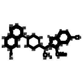 COc1c2cc(Cl)ccc2nn1[C@H](C)[C@H]1CC[C@@H](c2ccnc3ccc(F)cc32)CC1